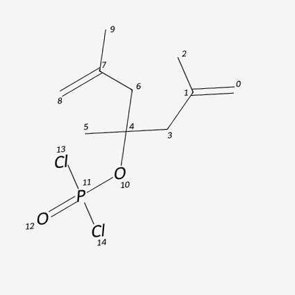 C=C(C)CC(C)(CC(=C)C)OP(=O)(Cl)Cl